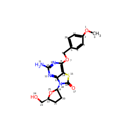 COc1ccc(COc2nc(N)nc3c2sc(=O)n3[C@H]2CC[C@@H](CO)O2)cc1